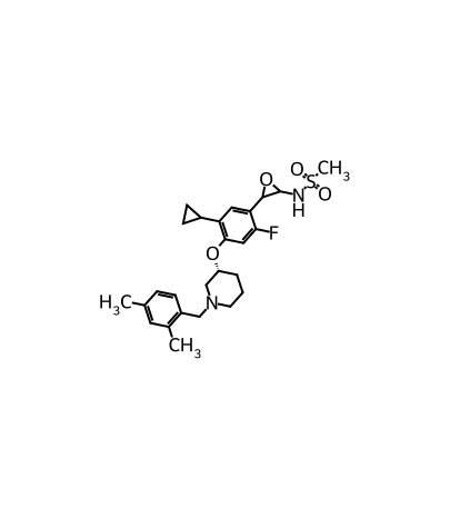 Cc1ccc(CN2CCC[C@@H](Oc3cc(F)c(C4OC4NS(C)(=O)=O)cc3C3CC3)C2)c(C)c1